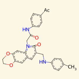 CC(=O)c1ccc(NC(=O)Cn2c(=O)c(CNc3ccc(C)cc3)cc3cc4c(cc32)OCCO4)cc1